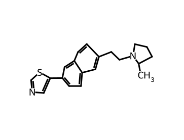 CC1CCCN1CCc1ccc2cc(-c3cncs3)ccc2c1